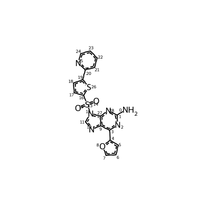 Nc1nc(-c2ccco2)c2ncn(S(=O)(=O)c3ccc(-c4ccccn4)s3)c2n1